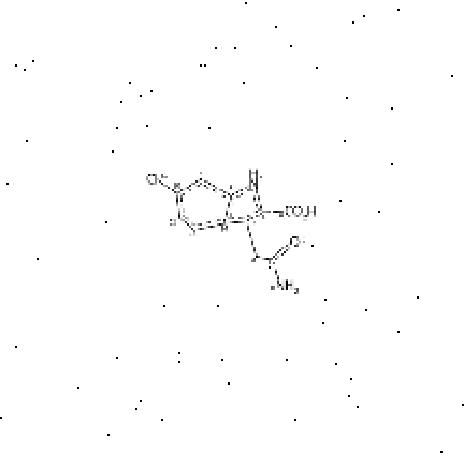 NC(=O)Cc1c(C(=O)O)[nH]c2cc(Cl)ccc12